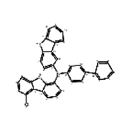 Clc1cccc2sc3c(N(c4ccc(-c5ccccc5)cc4)c4ccc5sc6ccccc6c5c4)cccc3c12